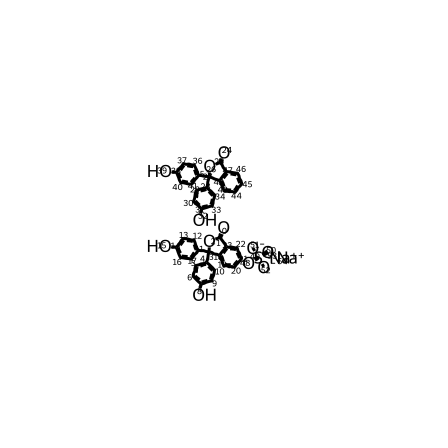 O=C1OC(c2ccc(O)cc2)(c2ccc(O)cc2)c2ccccc21.O=C1OC(c2ccc(O)cc2)(c2ccc(O)cc2)c2ccccc21.O=S(=O)([O-])[O-].[Na+].[Na+]